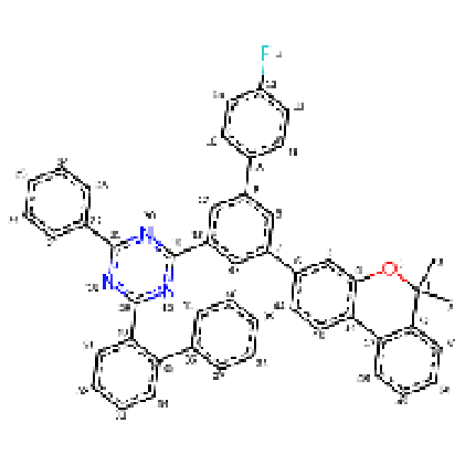 CC1(C)Oc2cc(-c3cc(-c4ccc(F)cc4)cc(-c4nc(-c5ccccc5)nc(-c5ccccc5-c5ccccc5)n4)c3)ccc2-c2ccccc21